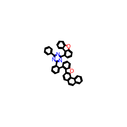 c1ccc(-c2nc(-c3ccccc3-c3cccc4oc5c(ccc6ccc7ccccc7c65)c34)nc(-c3cccc4oc5ccccc5c34)n2)cc1